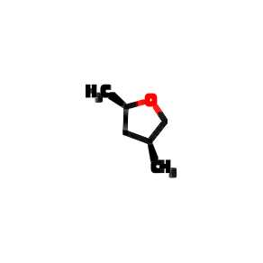 C[C@@H]1CO[C@H](C)C1